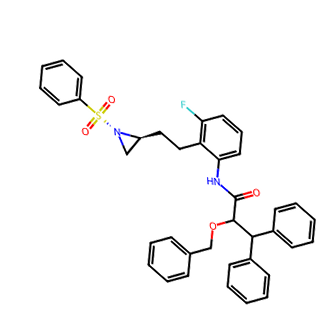 O=C(Nc1cccc(F)c1CC[C@H]1C[N@]1S(=O)(=O)c1ccccc1)C(OCc1ccccc1)C(c1ccccc1)c1ccccc1